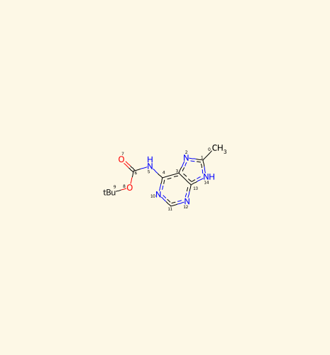 Cc1nc2c(NC(=O)OC(C)(C)C)ncnc2[nH]1